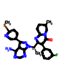 CSc1ccc(-c2nn([C@@H](C)c3nc4ccc(C)cn4c(=O)c3-c3cccc(F)c3)c3ncnc(N)c23)cn1